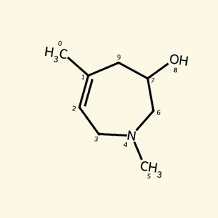 CC1=CCN(C)CC(O)C1